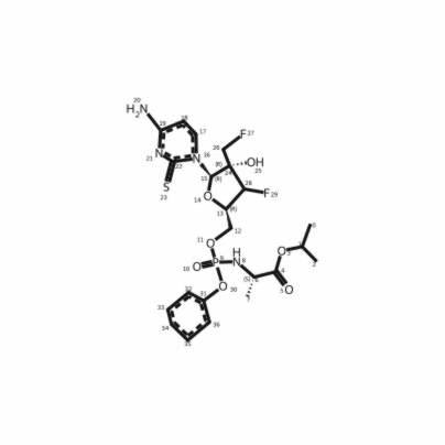 CC(C)OC(=O)[C@H](C)NP(=O)(OC[C@H]1O[C@@H](n2ccc(N)nc2=S)[C@@](O)(CF)C1F)Oc1ccccc1